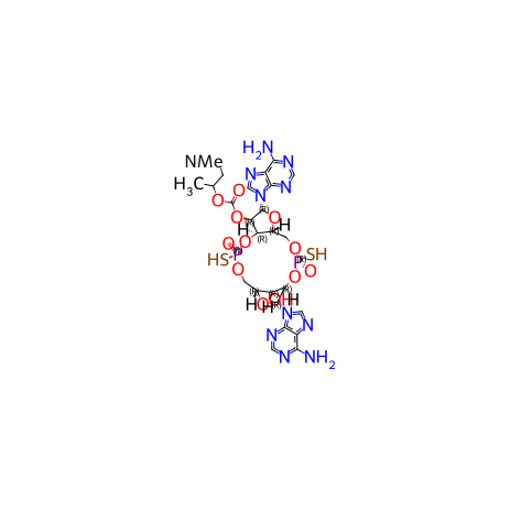 CNCC(C)OC(=O)O[C@@H]1[C@@H]2O[P@](=O)(S)OC[C@H]3O[C@@H](n4cnc5c(N)ncnc54)[C@H](O[P@](=O)(S)OC[C@H]2O[C@H]1n1cnc2c(N)ncnc21)[C@@H]3O